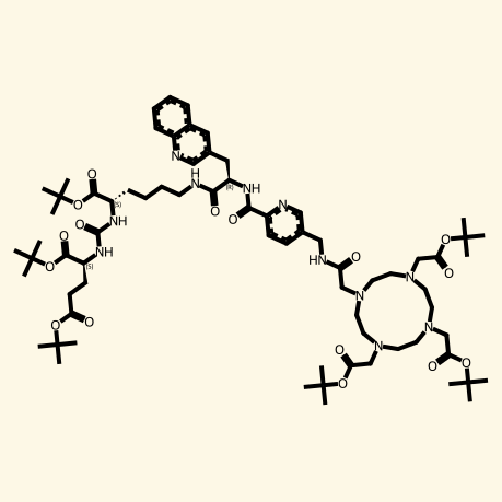 CC(C)(C)OC(=O)CC[C@H](NC(=O)N[C@@H](CCCCNC(=O)[C@@H](Cc1cnc2ccccc2c1)NC(=O)c1ccc(CNC(=O)CN2CCN(CC(=O)OC(C)(C)C)CCN(CC(=O)OC(C)(C)C)CCN(CC(=O)OC(C)(C)C)CC2)cn1)C(=O)OC(C)(C)C)C(=O)OC(C)(C)C